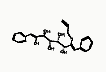 C=CCOC(=Cc1ccccc1)[C@H](O)[C@@H](O)[C@H](O)[C@H](O)C(O)=Cc1ccccc1